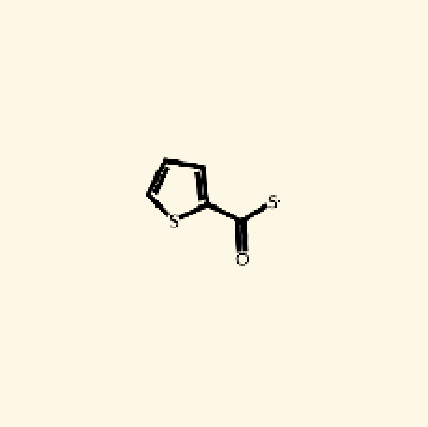 O=C([S])c1cccs1